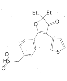 CCC1(CC)OC(c2ccc(C[SH](=O)=O)cc2)=C(c2ccsc2)C1=O